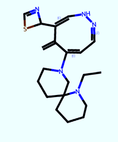 C=C1/C(C2N=CS2)=C\N/N=C\C=C/1N1CCCC2(CCCCN2CC)C1